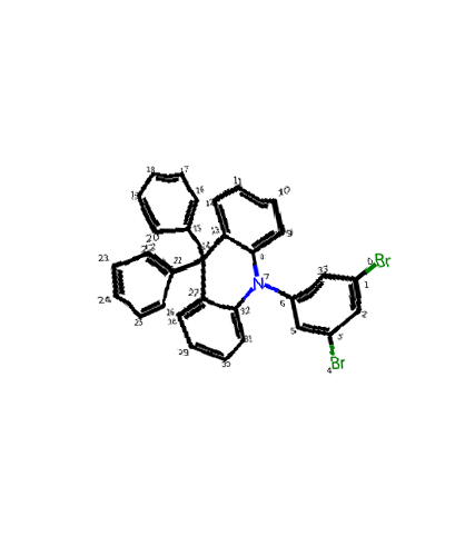 Brc1cc(Br)cc(N2c3ccccc3C(c3ccccc3)(c3ccccc3)c3ccccc32)c1